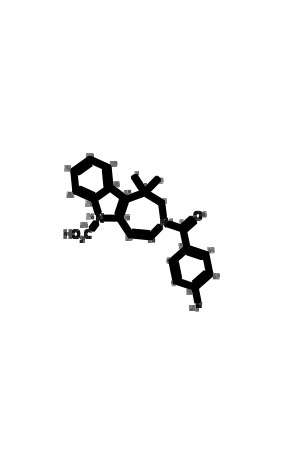 CC1(C)CN(C(=O)c2ccc(F)cc2)C=Cc2c1c1ccccc1n2C(=O)O